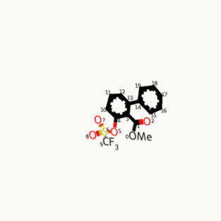 COC(=O)c1c(OS(=O)(=O)C(F)(F)F)cccc1-c1ccccc1